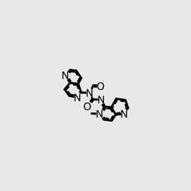 Cn1ccc2ncccc2/c1=N/C(=O)N(C=O)c1nccc2ncccc12